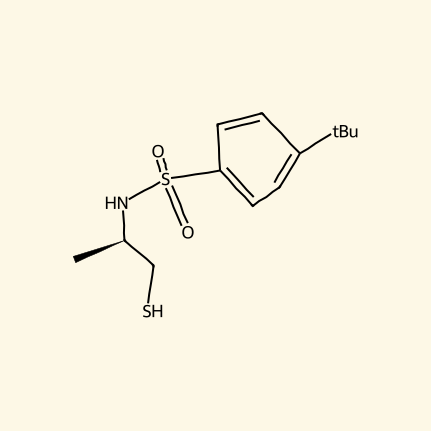 C[C@H](CS)NS(=O)(=O)c1ccc(C(C)(C)C)cc1